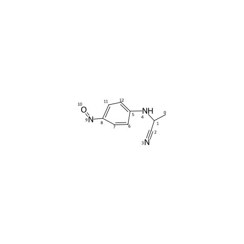 CC(C#N)Nc1ccc(N=O)cc1